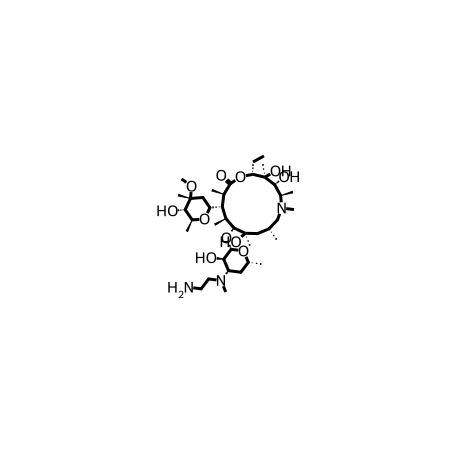 CC[C@H]1OC(=O)[C@H](C)[C@@H](C2C[C@@](C)(OC)[C@@H](O)[C@H](C)O2)[C@H](C)[C@@H](O[C@@H]2O[C@H](C)C[C@H](N(C)CCN)[C@H]2O)[C@](C)(O)C[C@@H](C)CN(C)[C@H](C)[C@@H](O)[C@]1(C)O